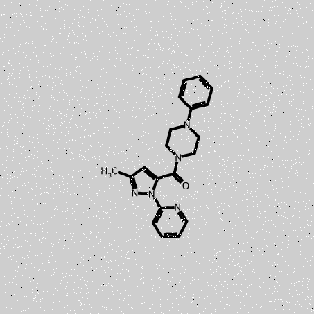 Cc1cc(C(=O)N2CCN(c3ccccc3)CC2)n(-c2ccccn2)n1